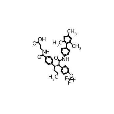 CCCC(c1ccc(C(=O)NCCC(=O)O)cc1)[C@@H](C(=O)Nc1ccc(-c2c(C)cc(C)cc2C)cc1)c1ccc(OC(F)(F)F)cc1